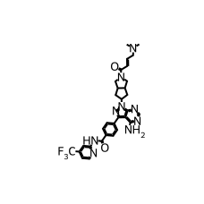 CN(C)C/C=C/C(=O)N1CC2CC(n3nc(-c4ccc(C(=O)Nc5cc(C(F)(F)F)ccn5)cc4)c4c(N)ncnc43)CC2C1